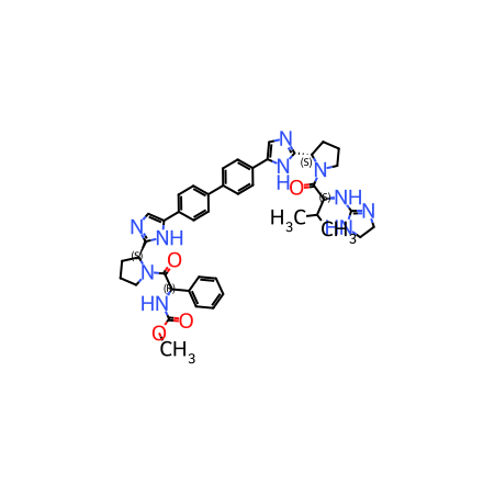 COC(=O)N[C@@H](C(=O)N1CCC[C@H]1c1ncc(-c2ccc(-c3ccc(-c4cnc([C@@H]5CCCN5C(=O)[C@@H](NC5=NCCN5)C(C)C)[nH]4)cc3)cc2)[nH]1)c1ccccc1